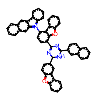 c1ccc2cc(C3=NC(c4ccc(-n5c6ccccc6c6cc7ccccc7cc65)c5c4oc4ccccc45)=NC(c4ccc5oc6ccccc6c5c4)N3)ccc2c1